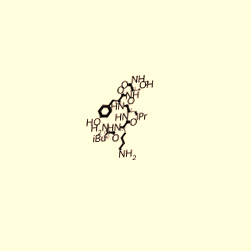 CC[C@H](C)[C@H](N)C(=O)N[C@@H](CCCCN)C(=O)N[C@@H](CC(C)C)C(=O)N[C@@H](Cc1ccc(O)cc1)C(=O)N[C@@H](CO)C(N)=O